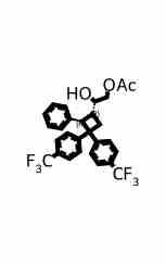 CC(=O)OCC(O)[C@@H]1CC(c2ccc(C(F)(F)F)cc2)(c2ccc(C(F)(F)F)cc2)[C@H]1c1ccccc1